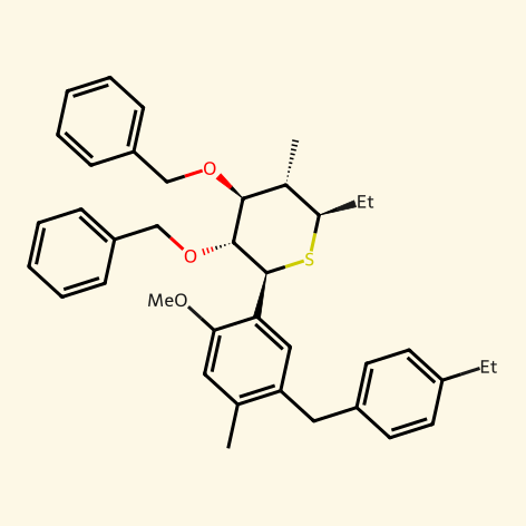 CCc1ccc(Cc2cc([C@@H]3S[C@H](CC)[C@@H](C)[C@H](OCc4ccccc4)[C@H]3OCc3ccccc3)c(OC)cc2C)cc1